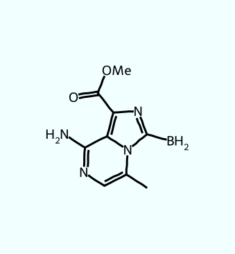 Bc1nc(C(=O)OC)c2c(N)ncc(C)n12